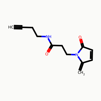 C#CCCNC(=O)CCN1C(=C)C=CC1=O